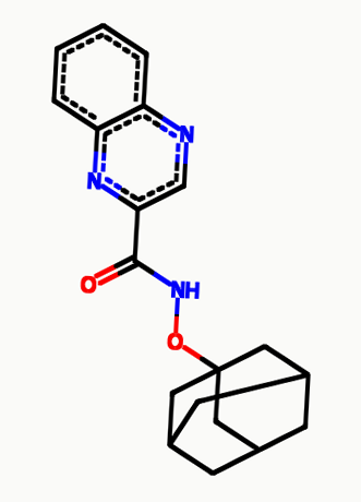 O=C(NOC12CC3CC(CC(C3)C1)C2)c1cnc2ccccc2n1